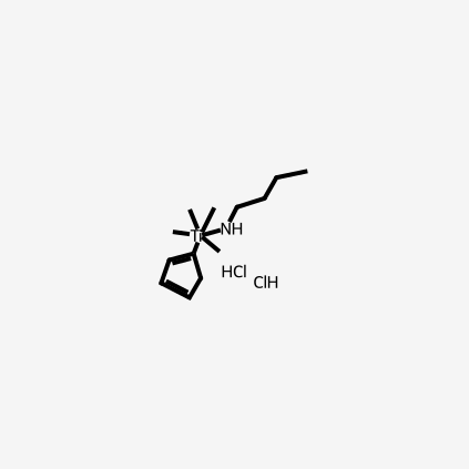 CCCC[NH][Ti]([CH3])([CH3])([CH3])([CH3])[C]1=CC=CC1.Cl.Cl